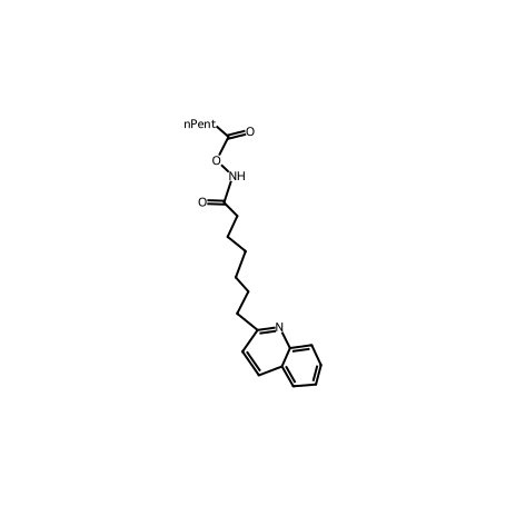 CCCCCC(=O)ONC(=O)CCCCCCc1ccc2ccccc2n1